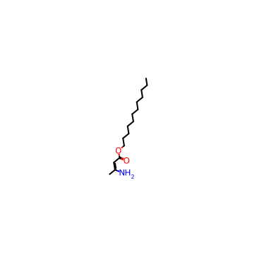 CCCCCCCCCCCCOC(=O)C=C(C)N